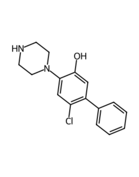 Oc1cc(-c2ccccc2)c(Cl)cc1N1CCNCC1